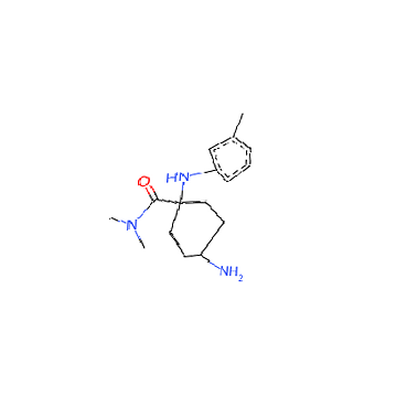 Cc1cccc(NC2(C(=O)N(C)C)CCC(N)CC2)c1